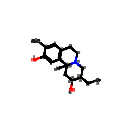 COc1cc2c(cc1O)[C@H]1C[C@@H](O)[C@H](CC(C)C)CN1CC2